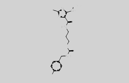 CCCCCNc1nc(Cl)[nH]c1C(=O)NCCCOC(=O)NCc1ccc(C)cc1